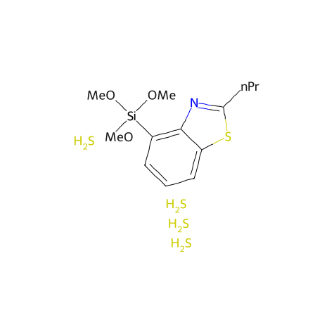 CCCc1nc2c([Si](OC)(OC)OC)cccc2s1.S.S.S.S